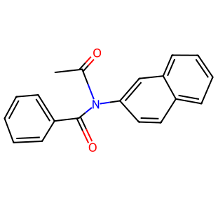 CC(=O)N(C(=O)c1ccccc1)c1ccc2ccccc2c1